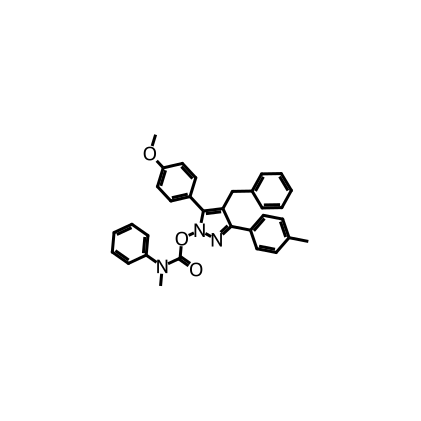 COc1ccc(-c2c(Cc3ccccc3)c(-c3ccc(C)cc3)nn2OC(=O)N(C)c2ccccc2)cc1